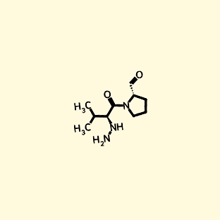 CC(C)[C@H](NN)C(=O)N1CCC[C@H]1C=O